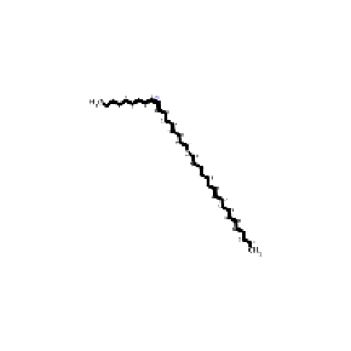 CCCCCCCC/C=C\CCCCCCCCOCCCCCCCCCCCCCCCCCC